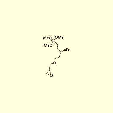 CCCC(CCOCC1CO1)CC[Si](OC)(OC)OC